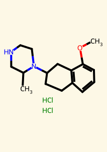 COc1cccc2c1CC(N1CCNCC1C)CC2.Cl.Cl